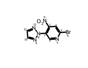 O=[N+]([O-])c1cc(Br)ncc1-n1nccn1